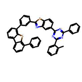 Cc1ccccc1-c1nc(-c2ccccc2)nc(-c2ccc3sc(-c4cccc(-c5cccc6c5sc5c(-c7ccccc7)cccc56)c4)nc3c2)n1